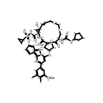 COc1cc(-c2cc(O[C@@H]3C[C@H]4C(=O)N[C@]5(C(=O)NS(=O)(=O)C6CC6)C[C@H]5/C=C\CCCCC[C@H](NC(=O)OC5CCCC5)C(=O)N4C3)n3nc4ccccc4c3n2)cc(C)c1C